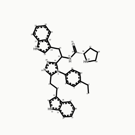 CCc1ccc(-n2c(CCc3c[nH]c4ccccc34)nnc2C(Cc2c[nH]c3ccccc23)NC(=O)[C@@H]2CCCN2)cc1